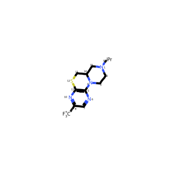 CC(C)N1CCN2c3ncc(C(F)(F)F)nc3SCC2C1